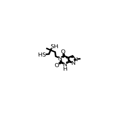 Cn1cc2c(=O)n(CCC(C)(S)CS)c(=O)[nH]c2n1